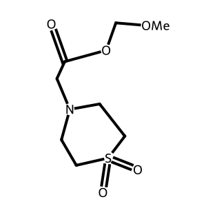 COCOC(=O)CN1CCS(=O)(=O)CC1